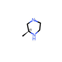 C[C@H]1C[N]CCN1